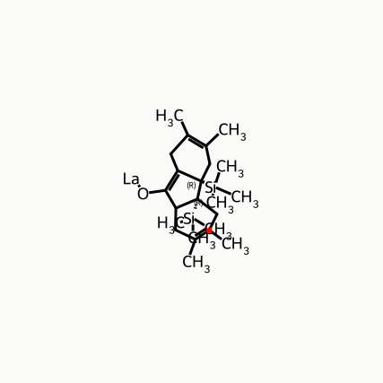 CC1=C(C)C[C@@]2([Si](C)(C)C)C(=C([O][La])C3CC(C)=C(C)C[C@@]32[Si](C)(C)C)C1